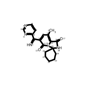 Cc1cc(C(=N)c2ccncn2)c(=O)n2c1C(=O)NC21CCCCC1